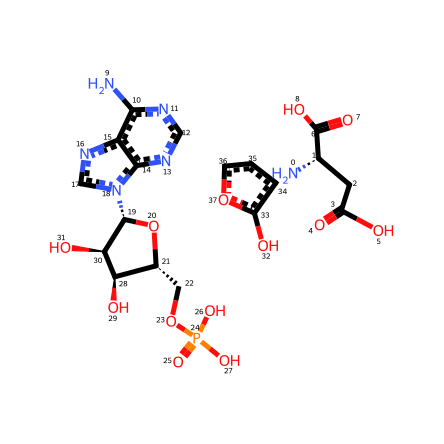 N[C@@H](CC(=O)O)C(=O)O.Nc1ncnc2c1ncn2[C@@H]1O[C@H](COP(=O)(O)O)[C@@H](O)[C@H]1O.Oc1ccco1